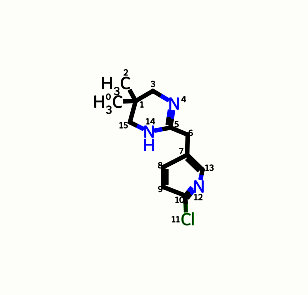 CC1(C)CN=C(Cc2ccc(Cl)nc2)NC1